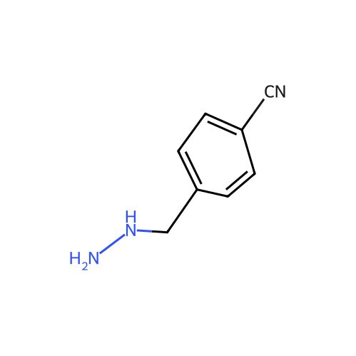 N#Cc1ccc(CNN)cc1